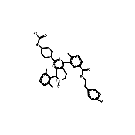 Cc1ccc(C(=O)NCCc2ccc(F)cc2)cc1-c1nc(N2CCC(NC(=O)O)CC2)nc2c1CC[NH+]([O-])C2c1c(F)cccc1F